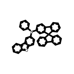 c1ccc(N(c2ccc3c(c2)C2(c4ccccc4-c4ccccc42)c2ccccc2-3)c2ccc3oc4ccccc4c3c2)cc1